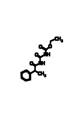 CCOC(=O)NC(=O)NC(=O)C(C)c1ccccc1